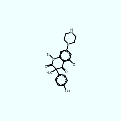 CCN1C(=O)C(C)(c2ccc(O)cc2)C(=O)c2c(Cl)cc(N3CCNCC3)cc21